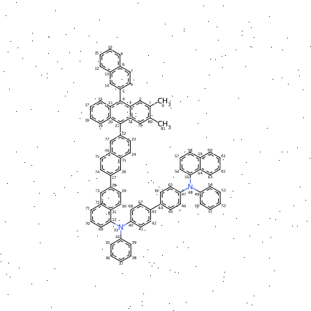 Cc1cc2c(-c3ccc4ccccc4c3)c3ccccc3c(-c3ccc4cc(-c5ccc6c(N(c7ccccc7)c7ccc(-c8ccc(N(c9ccccc9)c9cccc%10ccccc9%10)cc8)cc7)cccc6c5)ccc4c3)c2cc1C